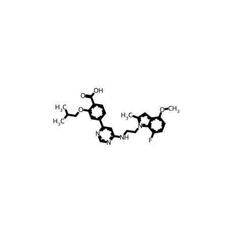 COc1ccc(F)c2c1cc(C)n2CCNc1cc(-c2ccc(C(=O)O)c(OCC(C)C)c2)ncn1